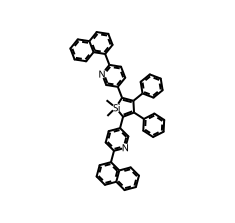 C[Si]1(C)C(c2ccc(-c3cccc4ccccc34)nc2)=C(c2ccccc2)C(c2ccccc2)=C1c1ccc(-c2cccc3ccccc23)nc1